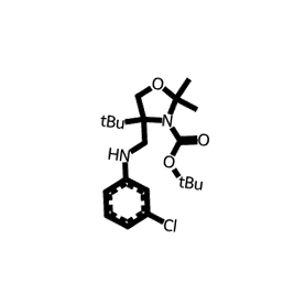 CC(C)(C)OC(=O)N1C(C)(C)OCC1(CNc1cccc(Cl)c1)C(C)(C)C